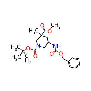 COC(=O)C1(C)CC(NC(=O)OCc2ccccc2)CN(C(=O)OC(C)(C)C)C1